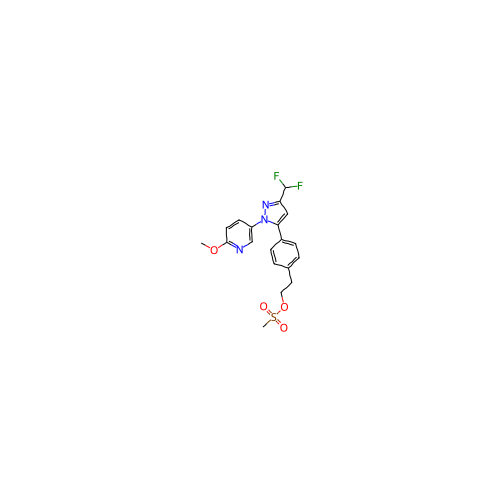 COc1ccc(-n2nc(C(F)F)cc2-c2ccc(CCOS(C)(=O)=O)cc2)cn1